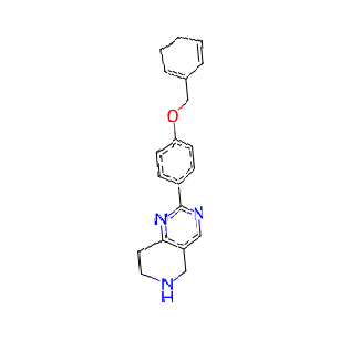 C1=CC(COc2ccc(-c3ncc4c(n3)CCNC4)cc2)=CCC1